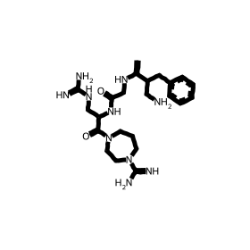 C=C(NCC(=O)NC(CNC(=N)N)C(=O)N1CCCN(C(=N)N)CC1)C(CN)Cc1ccccc1